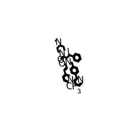 CN(C)C1CCN(C(=O)C(C(I)c2ccccc2)N(Cc2ccc(-c3ccccn3)cc2)C(=O)C=Cc2ccc(C(F)(F)F)nc2)CC1